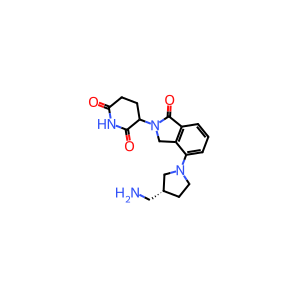 NC[C@H]1CCN(c2cccc3c2CN(C2CCC(=O)NC2=O)C3=O)C1